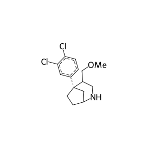 COCC1CNC2CC[C@]1(c1ccc(Cl)c(Cl)c1)C2